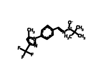 Cc1cc(C(F)(F)F)nn1-c1ccc(C=N[S+]([O-])C(C)(C)C)cc1